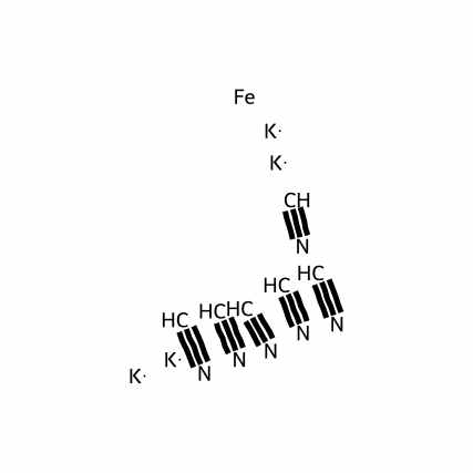 C#N.C#N.C#N.C#N.C#N.C#N.[Fe].[K].[K].[K].[K]